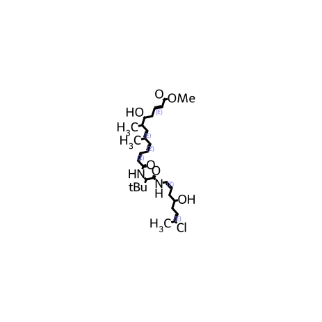 COC(=O)/C=C/CC(O)C(C)/C=C(C)/C=C\C=C/C(=O)NC(C(=O)N/C=C\CC(O)C/C=C(\C)Cl)C(C)(C)C